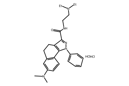 CCN(CC)CCNC(=O)c1nn(-c2ccccc2)c2c1CCc1cc(N(C)C)ccc1-2.Cl.Cl